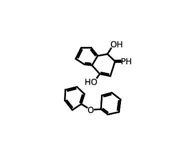 OC1=CC(=P)C(O)c2ccccc21.c1ccc(Oc2ccccc2)cc1